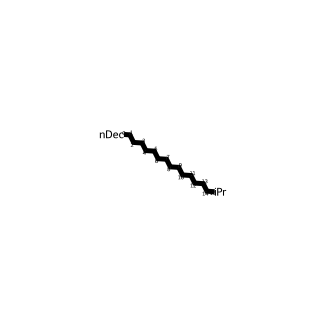 CCCCCCCCCCCCCCCCCCCCCCCCC(C)C